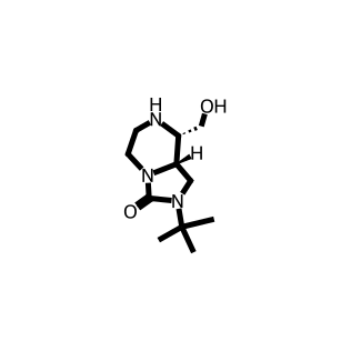 CC(C)(C)N1C[C@H]2[C@@H](CO)NCCN2C1=O